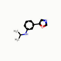 CC(C)Nc1cccc(-c2cnco2)c1